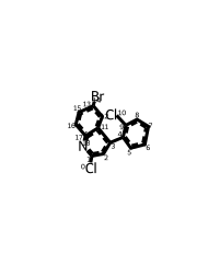 Clc1cc(-c2ccccc2Cl)c2cc(Br)ccc2n1